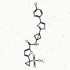 CS(=O)(=O)C1(c2ccc(C(=O)NC34CC(c5nc(-c6ccc(Cl)cn6)cs5)(C3)C4)o2)CC1